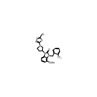 COc1cccc2c1n(Cc1ccccc1C(F)(F)F)c(=O)n2C1CCN(c2nnc(C(C)C)o2)C1